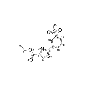 CCOC(=O)c1csc(-c2cccc(S(C)(=O)=O)c2)n1